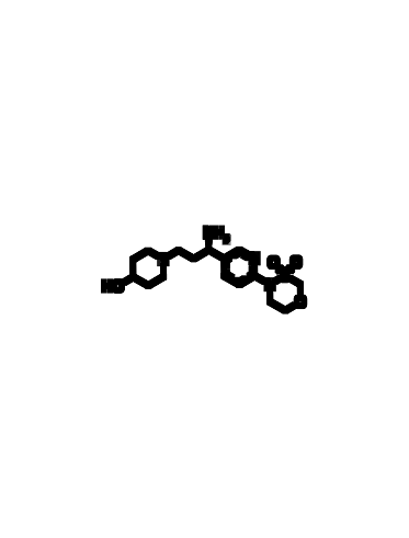 N[C@H](CCN1CCC(O)CC1)c1ccc(N2CCOCS2(=O)=O)nc1